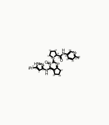 CC(C)c1cc(Nc2c3c(nc(N4CCCC4C(=O)Nc4ccc(F)nc4)[n+]2[O-])CCC3)n[nH]1